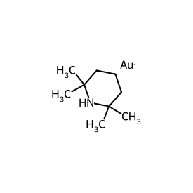 CC1(C)CCCC(C)(C)N1.[Au]